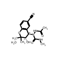 CNC(=O)N(NC(C)=O)[C@@H]1c2cc(C#N)ccc2OC(C)(C)[C@H]1O.O